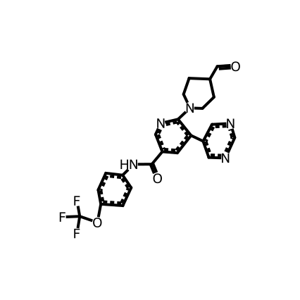 O=CC1CCN(c2ncc(C(=O)Nc3ccc(OC(F)(F)F)cc3)cc2-c2cncnc2)CC1